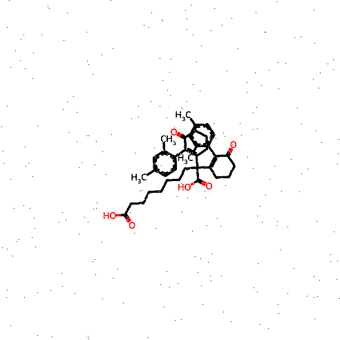 Cc1ccc(C2=C(C(CCCCCCCC(=O)O)(C(=O)O)C3=C(c4ccc(C)cc4C)C(=O)CCC3)CCCC2=O)c(C)c1